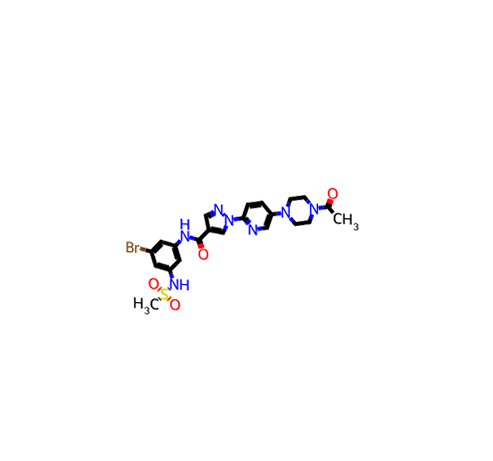 CC(=O)N1CCN(c2ccc(-n3cc(C(=O)Nc4cc(Br)cc(NS(C)(=O)=O)c4)cn3)nc2)CC1